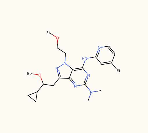 CCOCCn1nc(CC(OCC)C2CC2)c2nc(N(C)C)nc(Nc3cc(CC)ccn3)c21